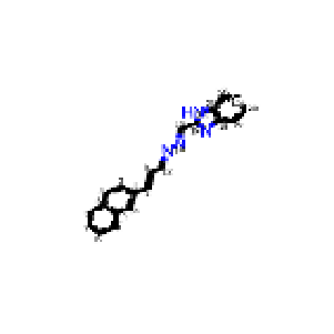 C(=C\c1ccc2ccccc2c1)/C=N/N=C/c1nc2ccccc2[nH]1